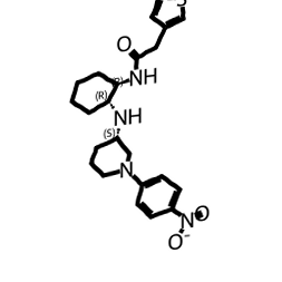 O=C(Cc1ccsc1)N[C@@H]1CCCC[C@H]1N[C@H]1CCCN(c2ccc([N+](=O)[O-])cc2)C1